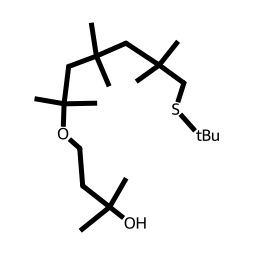 CC(C)(O)CCOC(C)(C)CC(C)(C)CC(C)(C)CSC(C)(C)C